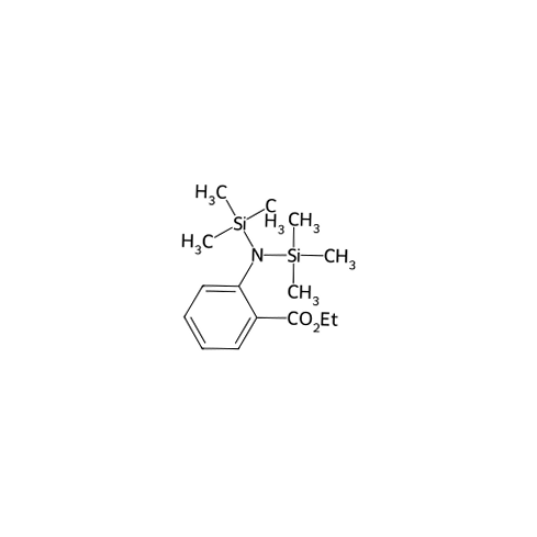 CCOC(=O)c1ccccc1N([Si](C)(C)C)[Si](C)(C)C